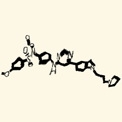 COc1ccc(S(=O)(=O)N(OC=O)c2ccc(Nc3cc(-c4ccc5c(ccn5CCCN5CCCC5)c4)ncn3)cc2)cc1